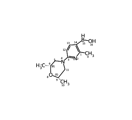 Cc1nc(N2C[C@@H](C)O[C@@H](C)C2)ccc1BO